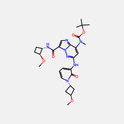 CO[C@H]1CC[C@@H]1NC(=O)c1cnc2c(N(C)C(=O)OC(C)(C)C)cc(Nc3cccn([C@H]4C[C@H](OC)C4)c3=O)nn12